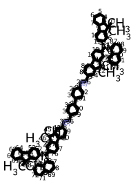 CC1(C)c2ccccc2-c2ccc(N(c3ccc4c(c3)C(C)(C)c3cc(/C=C/c5ccc(-c6ccc(/C=C/c7ccc8c(c7)C(C)(C)c7cc(N(c9ccc%10c(c9)C(C)(C)c9ccccc9-%10)c9cccc%10ccccc9%10)ccc7-8)cc6)cc5)ccc3-4)c3cccc4ccccc34)cc21